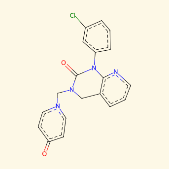 O=C1N(Cn2ccc(=O)cc2)Cc2cccnc2N1c1cccc(Cl)c1